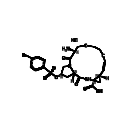 Cl.N[C@H]1CCCCCC=C[C@@H]2C[C@@]2(C(=O)O)NC(=O)[C@@H]2C[C@H](OS(=O)(=O)c3ccc(Br)cc3)CN2C1=O